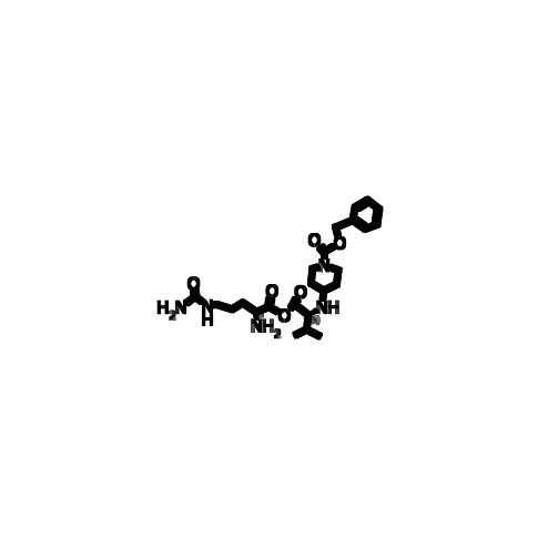 CC(C)[C@H](NC1CCN(C(=O)OCc2ccccc2)CC1)C(=O)OC(=O)[C@@H](N)CCCNC(N)=O